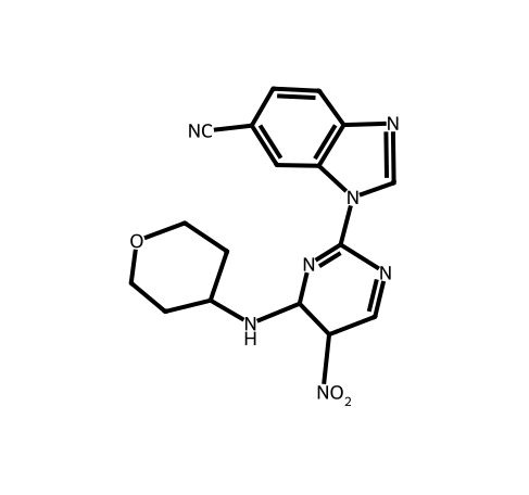 N#Cc1ccc2ncn(C3=NC(NC4CCOCC4)C([N+](=O)[O-])C=N3)c2c1